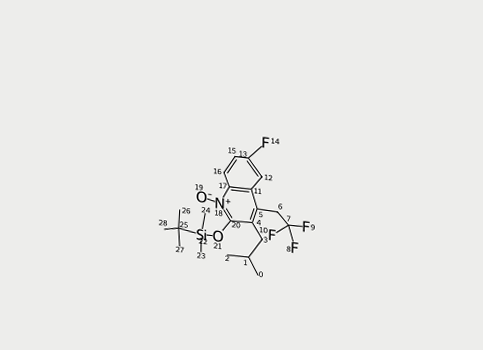 CC(C)Cc1c(CC(F)(F)F)c2cc(F)ccc2[n+]([O-])c1O[Si](C)(C)C(C)(C)C